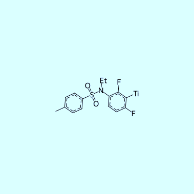 CCN(c1ccc(F)[c]([Ti])c1F)S(=O)(=O)c1ccc(C)cc1